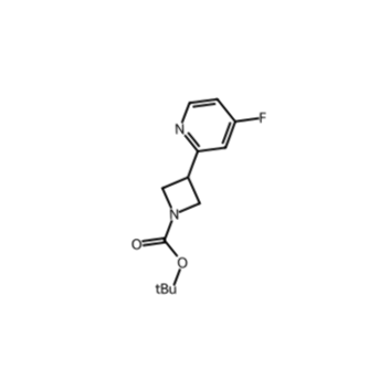 CC(C)(C)OC(=O)N1CC(c2cc(F)ccn2)C1